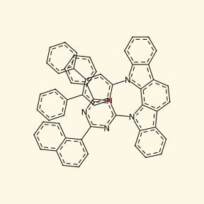 c1ccc(-c2nc(-c3cccc4ccccc34)nc(-n3c4ccccc4c4ccc5c6ccccc6n(-c6ccc(-c7ccccc7)c(-c7ccccc7)c6)c5c43)n2)cc1